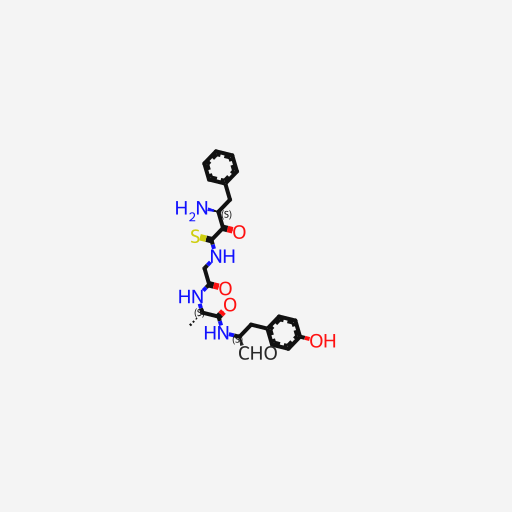 C[C@H](NC(=O)CNC(=S)C(=O)[C@@H](N)Cc1ccccc1)C(=O)N[C@H](C=O)Cc1ccc(O)cc1